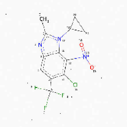 Cc1nc2cc(C(F)(F)F)c(Cl)c([N+](=O)[O-])c2n1C1CC1